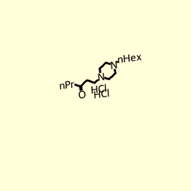 CCCCCCN1CCN(CCC(=O)CCC)CC1.Cl.Cl